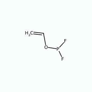 C=COP(F)F